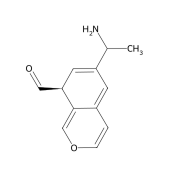 CC(N)C1=C[C@H](C=O)C2=COC=CC2=C1